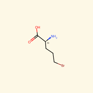 N[C@@H](CCCBr)C(=O)O